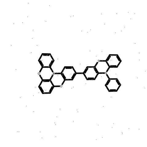 c1ccc(N2c3ccccc3Sc3cc(-c4ccc5c(c4)Oc4cccc6c4B5c4ccccc4O6)ccc32)cc1